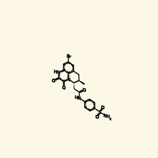 C[C@@H]1Cc2cc(Br)cc3[nH]c(=O)c(=O)n(c23)[C@H]1CC(=O)Nc1ccc(S(N)(=O)=O)cc1